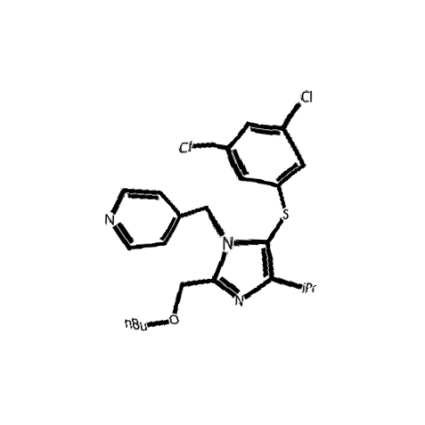 CCCCOCc1nc(C(C)C)c(Sc2cc(Cl)cc(Cl)c2)n1Cc1ccncc1